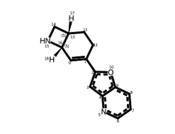 C1=C(c2cc3ncccc3o2)CC[C@H]2CN[C@@H]12